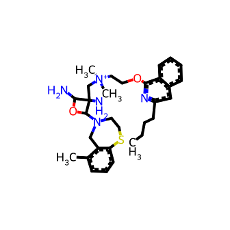 CCCCc1cc2ccccc2c(OCC[N+](C)(C)CC2(N)C(N)OC2N2CCSc3cccc(C)c3C2)n1